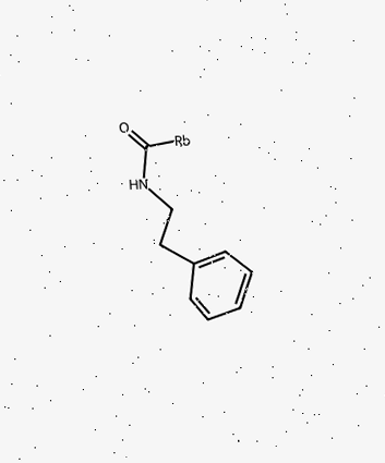 O=[C]([Rb])NCCc1ccccc1